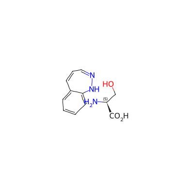 C1=Cc2ccccc2NN=C1.N[C@@H](CO)C(=O)O